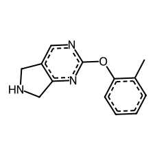 Cc1ccccc1Oc1ncc2c(n1)CNC2